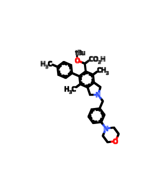 Cc1ccc(-c2c(C)c3c(c(C)c2C(OC(C)(C)C)C(=O)O)CN(Cc2cccc(N4CCOCC4)c2)C3)cc1